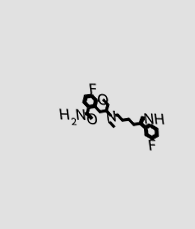 CCN(CCCCc1c[nH]c2ccc(F)cc12)C1COc2c(F)ccc(C(N)=O)c2C1